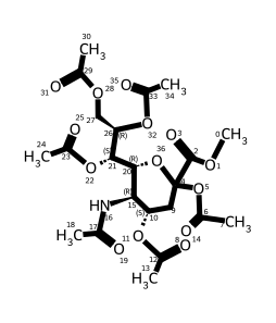 COC(=O)C1(OC(C)=O)C[C@H](OC(C)=O)[C@@H](NC(C)=O)[C@H]([C@H](OC(C)=O)[C@@H](COC(C)=O)OC(C)=O)O1